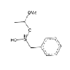 COC(C)O[SiH](O)Cc1ccccc1